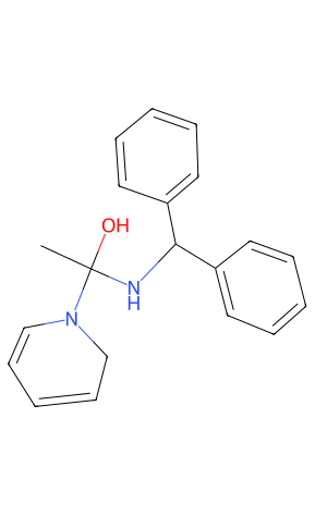 CC(O)(NC(c1ccccc1)c1ccccc1)N1C=CC=CC1